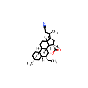 CC[C@H]1[C@@H](OC(C)=O)[C@@H]2[C@H](CC[C@]3(C)[C@@H]([C@H](C)CC#N)CC[C@@H]23)[C@@]2(C)CC[C@@H](C)C[C@@H]12